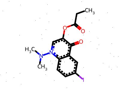 CCC(=O)Oc1cn(N(C)C)c2ccc(I)cc2c1=O